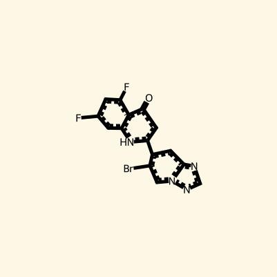 O=c1cc(-c2cc3ncnn3cc2Br)[nH]c2cc(F)cc(F)c12